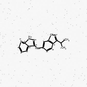 CC(C)c1noc2cc(Nc3n[nH]c4ncccc34)ccc12